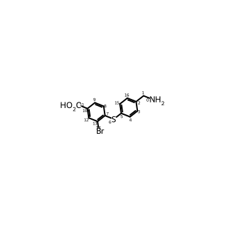 NCc1ccc(Sc2ccc(C(=O)O)cc2Br)cc1